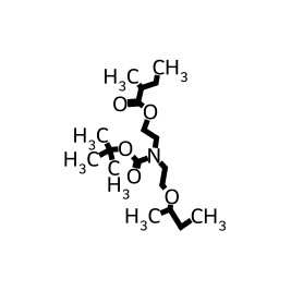 CCC(C)OCCN(CCOC(=O)C(C)CC)C(=O)OC(C)(C)C